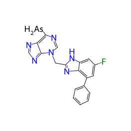 Fc1cc(-c2ccccc2)c2nc(Cn3cnc([AsH2])c4ncnc3-4)[nH]c2c1